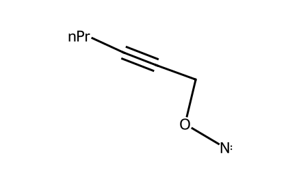 CCCC#CCO[N]